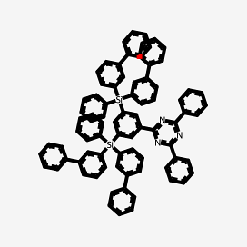 c1ccc(-c2cccc([Si](c3ccccc3)(c3cccc(-c4ccccc4)c3)c3cc(-c4nc(-c5ccccc5)nc(-c5ccccc5)n4)cc([Si](c4ccccc4)(c4cccc(-c5ccccc5)c4)c4cccc(-c5ccccc5)c4)c3)c2)cc1